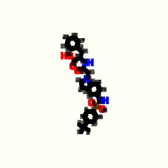 CC(C)(C)c1ccc(S(=O)(=O)Nc2ccc3c(ccn3CC(=O)NC(Cc3ccccc3)C(=O)O)c2)cc1